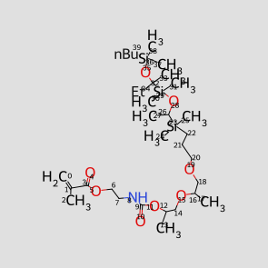 C=C(C)C(=O)OCCNC(=O)OC(C)COC(C)COCCC[Si](C)(C)C(C)O[Si](C)(C)C(C)(CC)O[Si](C)(C)CCCC